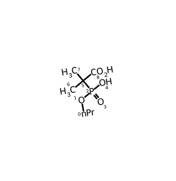 CCCOP(=O)(O)C(C)(C)C(=O)O